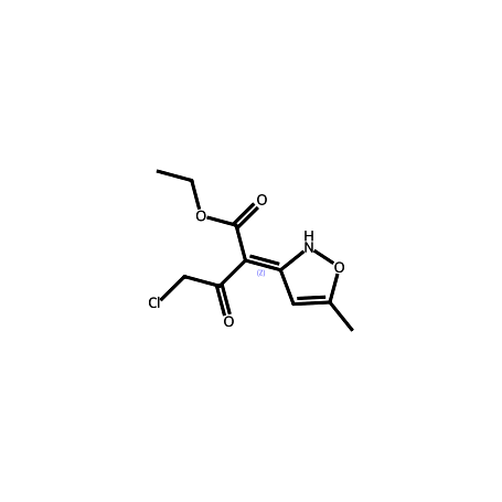 CCOC(=O)/C(C(=O)CCl)=C1/C=C(C)ON1